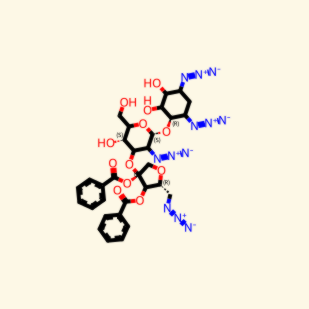 [N-]=[N+]=NC[C@H]1OC[C@@](OC(=O)c2ccccc2)(OC2C(N=[N+]=[N-])[C@@H](O[C@@H]3C(N=[N+]=[N-])CC(N=[N+]=[N-])C(O)C3O)OC(CO)[C@H]2O)C1OC(=O)c1ccccc1